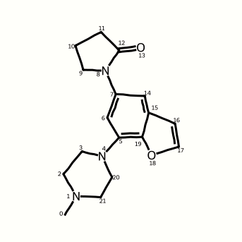 CN1CCN(c2cc(N3CCCC3=O)cc3ccoc23)CC1